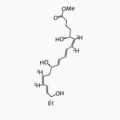 [2H]C(/C=C/[C@H](O)CC)=C(\[2H])C[C@@H](O)/C=C/C=C/C([2H])=C(/[2H])[C@@H](O)CCCC(=O)OC